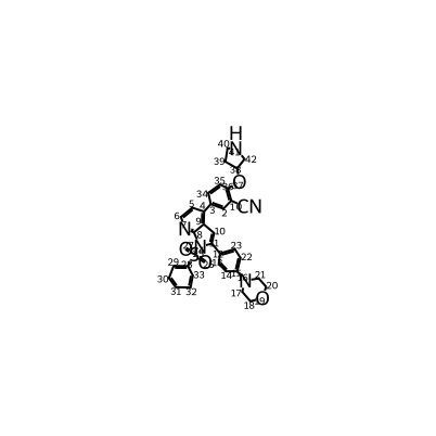 N#Cc1cc(-c2ccnc3c2cc(-c2ccc(N4CCOCC4)cc2)n3S(=O)(=O)c2ccccc2)ccc1OC1CCNC1